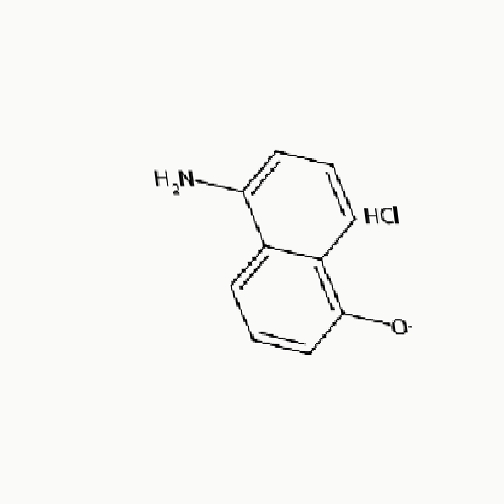 Cl.Nc1cccc2c([O])cccc12